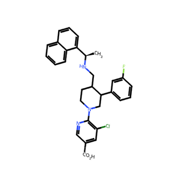 C[C@@H](NCC1CCN(c2ncc(C(=O)O)cc2Cl)CC1c1cccc(F)c1)c1cccc2ccccc12